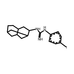 N=C(Nc1ccc(I)cc1)NC1CC2CCC3CC2CC1C3